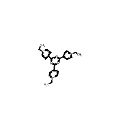 CC[n+]1ccc(-c2nc(-c3cc[n+](CC)cc3)nc(-c3cc[n+](CC)cc3)n2)cc1